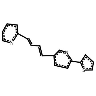 C(/C=C/c1ccccn1)=C\c1ccc(-c2cccs2)nc1